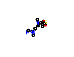 C1=C(c2ccc(-c3ccc4c(c3)nc(-c3ccccc3)c3ccc5c(c34)-c3ccccc3C53c4ccccc4Sc4ccccc43)cc2)N=C(c2ccccc2)NC1c1ccccc1